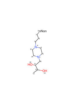 CCCCCCCCCCCCN1CCN(CC(O)C(C)O)CC1